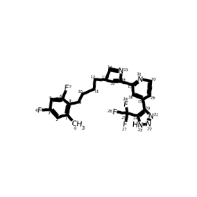 Cc1cc(F)cc(F)c1CCCCC1C=NC(c2cc(-c3nn[nH]c3C(F)(F)F)ccn2)=C1